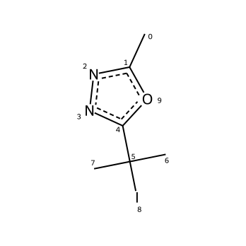 Cc1nnc(C(C)(C)I)o1